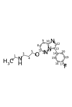 CCNCCCOc1ccc2ncc(-c3ccc(F)cc3)n2n1